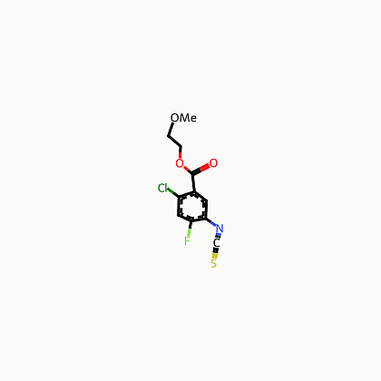 COCCOC(=O)c1cc(N=C=S)c(F)cc1Cl